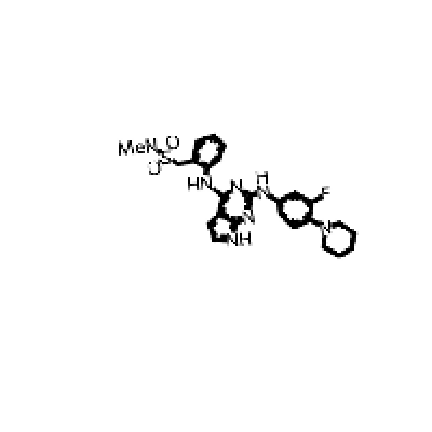 CNS(=O)(=O)Cc1ccccc1Nc1nc(Nc2ccc(N3CCCCC3)c(F)c2)nc2[nH]ccc12